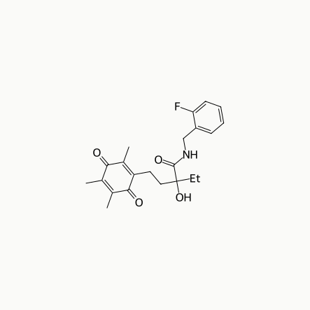 CCC(O)(CCC1=C(C)C(=O)C(C)=C(C)C1=O)C(=O)NCc1ccccc1F